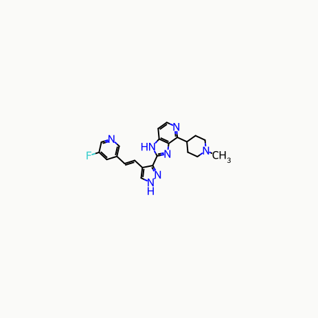 CN1CCC(c2nccc3[nH]c(-c4n[nH]cc4/C=C/c4cncc(F)c4)nc23)CC1